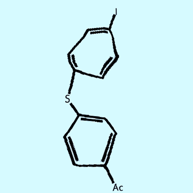 CC(=O)c1ccc(Sc2ccc(I)cc2)cc1